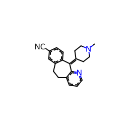 CN1CCC(=C2c3ccc(C#N)cc3CCc3cccnc32)CC1